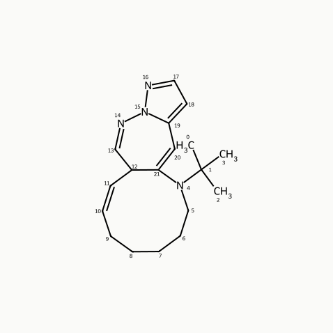 CC(C)(C)N1CCCCC/C=C\C2C=Nn3nccc3C=C21